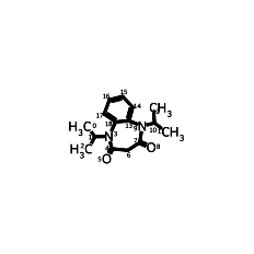 CC(C)N1C(=O)CC(=O)N(C(C)C)c2ccccc21